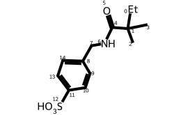 CCC(C)(C)C(=O)NCc1ccc(S(=O)(=O)O)cc1